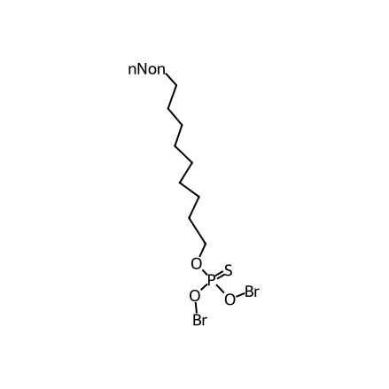 CCCCCCCCCCCCCCCCCCOP(=S)(OBr)OBr